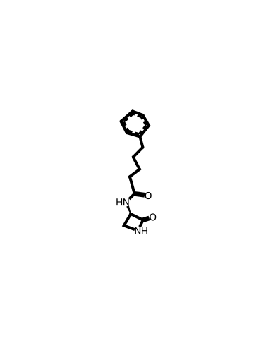 O=C(CCCCc1ccccc1)N[C@@H]1CNC1=O